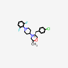 C[C@H]1CN(C2CCN(c3c(F)cccc3F)CC2)[C@@H](Cc2ccc(Cl)cc2)CO1